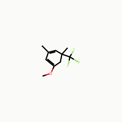 COC1=CC(C)=CC(C)(C(F)(F)F)[CH]1